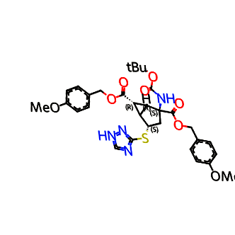 COc1ccc(COC(=O)[C@H]2C3[C@@H](Sc4nc[nH]n4)C[C@@](NC(=O)OC(C)(C)C)(C(=O)OCc4ccc(OC)cc4)[C@@H]32)cc1